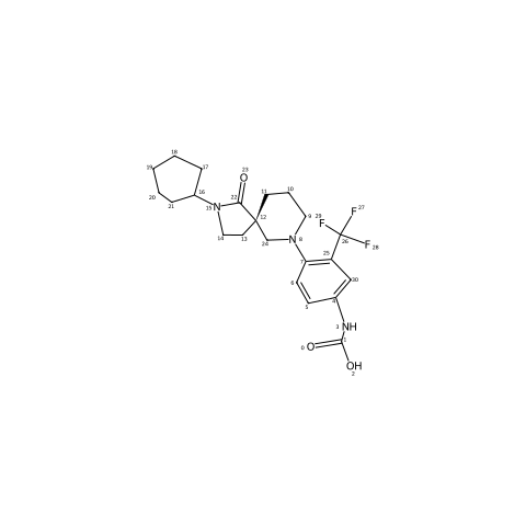 O=C(O)Nc1ccc(N2CCC[C@]3(CCN(C4CCCCC4)C3=O)C2)c(C(F)(F)F)c1